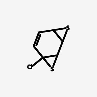 ClC12C=CC3SC3C1S2